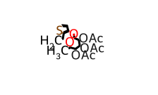 C=Cc1sccc1OC1OC(C)C(OC(C)=O)C(OC(C)=O)C1OC(C)=O